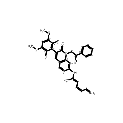 C=C/C=C\C=C(/C)Nc1ncc2cc(-c3c(Cl)c(OC)cc(OC)c3Cl)c(=O)n(CC(C)c3ccccc3)c2n1